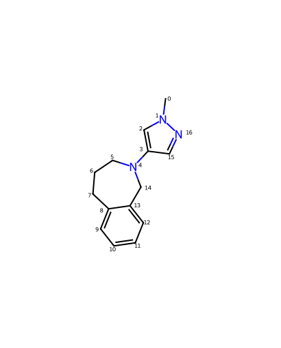 Cn1cc(N2CCCc3ccccc3C2)cn1